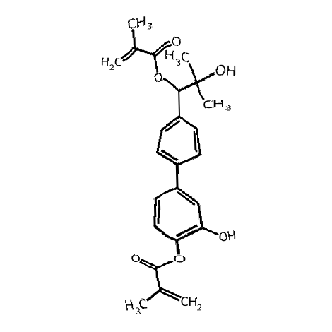 C=C(C)C(=O)Oc1ccc(-c2ccc(C(OC(=O)C(=C)C)C(C)(C)O)cc2)cc1O